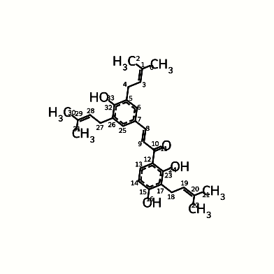 CC(C)=CCc1cc(C=CC(=O)c2ccc(O)c(CC=C(C)C)c2O)cc(CC=C(C)C)c1O